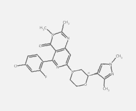 Cc1nn(C)cc1[C@@H]1CN(c2cc3nc(C)n(C)c(=O)c3c(-c3ccc(Cl)cc3F)n2)CCO1